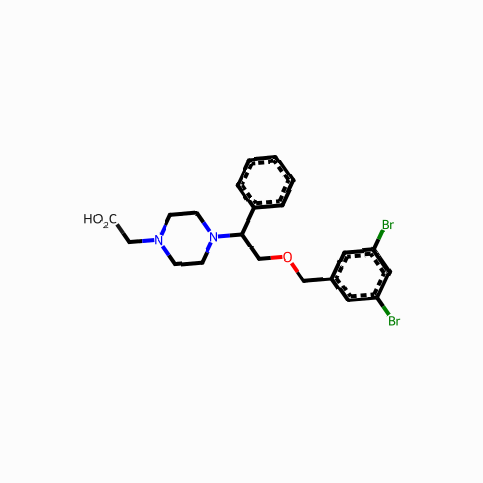 O=C(O)CN1CCN(C(COCc2cc(Br)cc(Br)c2)c2ccccc2)CC1